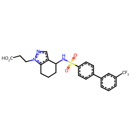 O=C(O)CCn1ncc2c1CCCC2NS(=O)(=O)c1ccc(-c2cccc(C(F)(F)F)c2)cc1